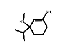 CNC1(C(C)C)C=C(N)CCC1